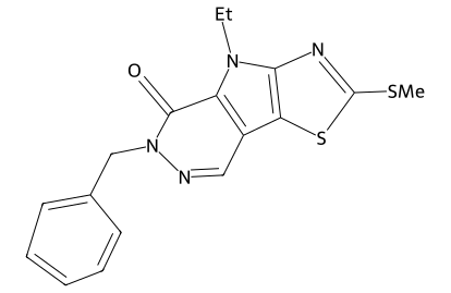 CCn1c2nc(SC)sc2c2cnn(Cc3ccccc3)c(=O)c21